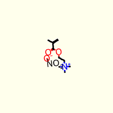 C=C(C)C(=O)OCC[N+](C)(C)C.O=[N+]([O-])[O-]